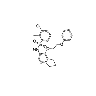 Cc1c(Cl)cccc1S(=O)(=O)Nc1cnc2c(c1OCCOc1ccccc1)CCC2